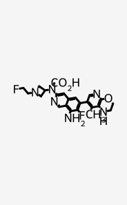 Cc1c(-c2cc3cc(N(C(=O)O)C4CN(CCF)C4)ncc3c(N)c2F)cnc2c1NCCO2